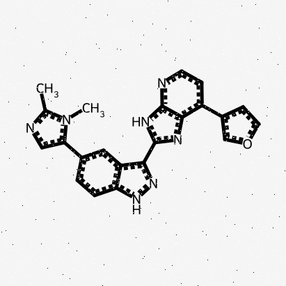 Cc1ncc(-c2ccc3[nH]nc(-c4nc5c(-c6ccoc6)ccnc5[nH]4)c3c2)n1C